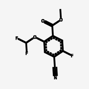 COC(=O)c1cc(F)c(C#N)cc1OC(F)F